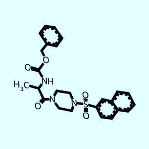 CC(NC(=O)OCc1ccccc1)C(=O)N1CCN(S(=O)(=O)c2ccc3ccccc3c2)CC1